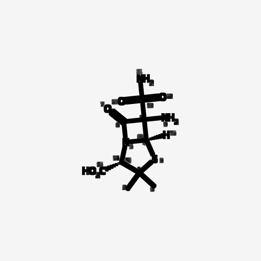 CC1(C)S[C@H]2N(C(=O)C2(N)S(N)(=O)=O)[C@H]1C(=O)O